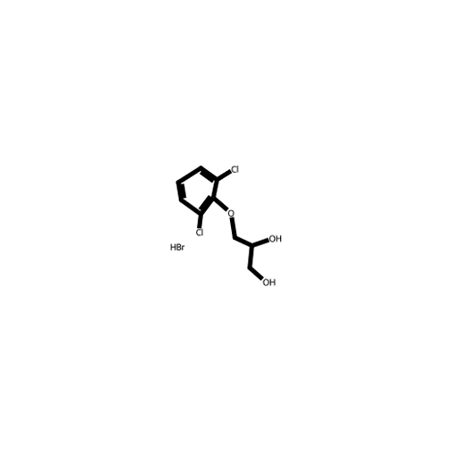 Br.OCC(O)COc1c(Cl)cccc1Cl